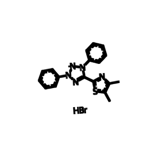 Br.Cc1nc(C2=NN(c3ccccc3)[N]N2c2ccccc2)sc1C